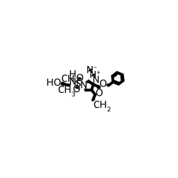 C=CCC1CN(S(=O)(=O)NCC(C)(C)O)CC1(N=[N+]=[N-])C(=O)OCc1ccccc1